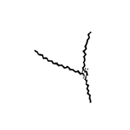 CCCCCCCCCCCCCCCCCCCc1n(CCCCCCCCCCC)cc[n+]1CCCCCCCCCCCCCC